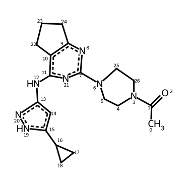 CC(=O)N1CCN(c2nc3c(c(Nc4cc(C5CC5)[nH]n4)n2)CCC3)CC1